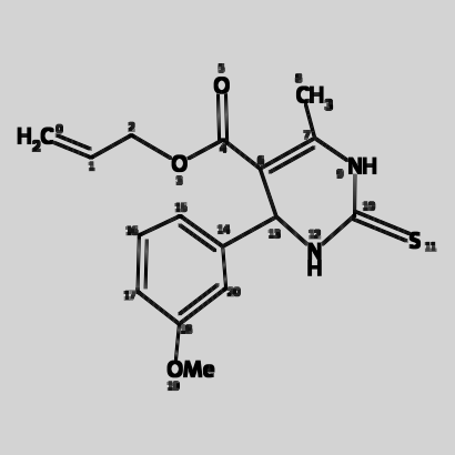 C=CCOC(=O)C1=C(C)NC(=S)NC1c1cccc(OC)c1